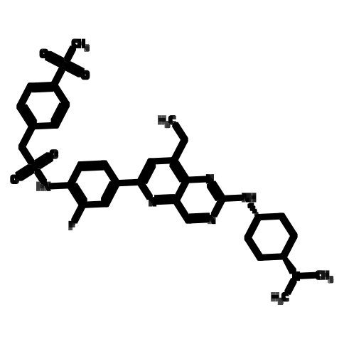 CCc1cc(-c2ccc(NS(=O)(=O)Cc3ccc(S(C)(=O)=O)cc3)c(F)c2)nc2cnc(N[C@H]3CC[C@H](N(C)C)CC3)nc12